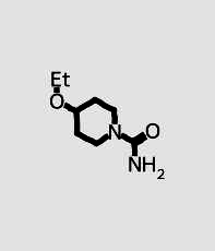 CCOC1CCN(C(N)=O)CC1